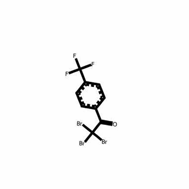 O=C(c1ccc(C(F)(F)F)cc1)C(Br)(Br)Br